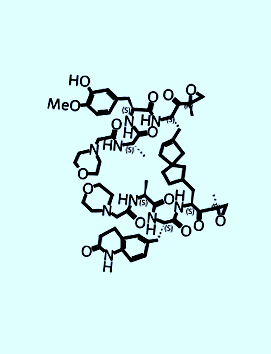 COc1ccc(C[C@H](NC(=O)[C@H](C)NC(=O)CN2CCOCC2)C(=O)N[C@@H](CC2=CCC3(CCC(C[C@H](NC(=O)[C@H](Cc4ccc5c(c4)CCC(=O)N5)NC(=O)[C@H](C)NC(=O)CN4CCOCC4)C(=O)[C@@]4(C)CO4)C3)C2)C(=O)[C@@]2(C)CO2)cc1O